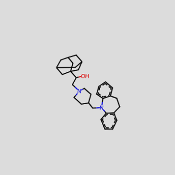 OC(CN1CCC(CN2c3ccccc3CCc3ccccc32)CC1)C12CC3CC(CC(C3)C1)C2